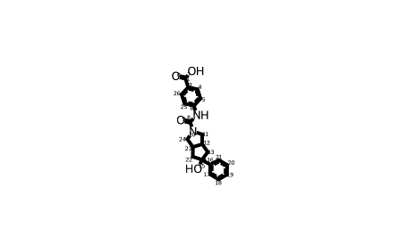 O=C(O)c1ccc(NC(=O)N2CC3CC(O)(c4ccccc4)CC3C2)cc1